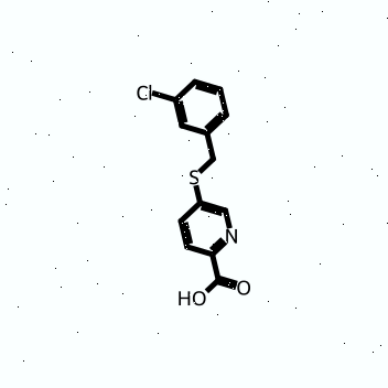 O=C(O)c1ccc(SCc2cccc(Cl)c2)cn1